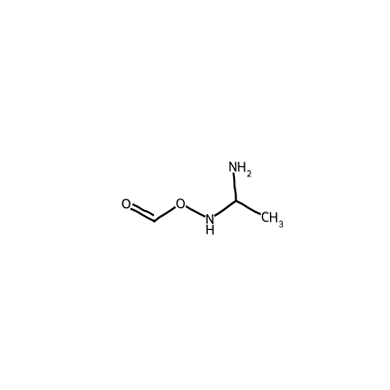 CC(N)NOC=O